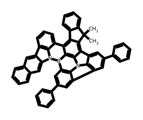 CC1(C)c2ccccc2-c2c3c4c5c(c21)c1cc(-c2ccccc2)cc2c6cc(-c7ccccc7)cc(c6n5c21)B4n1c2cc4ccccc4cc2c2cccc-3c21